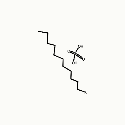 CCCCCCCCCC[CH2][K].O=S(=O)(O)O